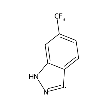 FC(F)(F)c1ccc2[c]n[nH]c2c1